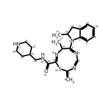 C=C1/N=C\N=C(\N2c3ccccc3CC2C)C(C)/N=C(/C(=O)NCC2CCNCC2)S1